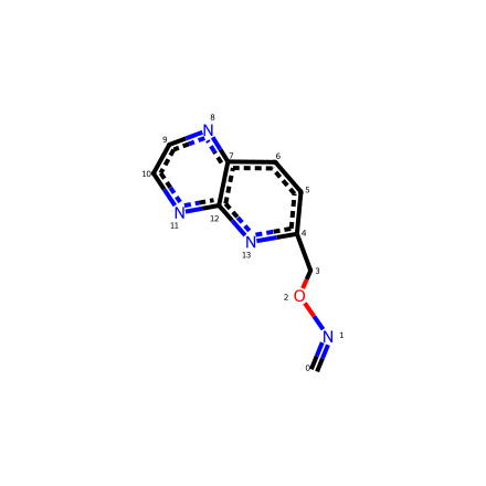 C=NOCc1ccc2nccnc2n1